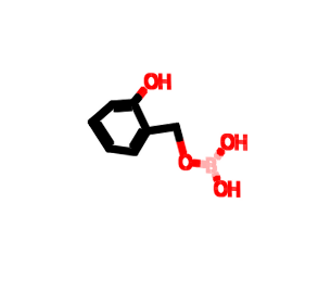 OB(O)OCc1ccccc1O